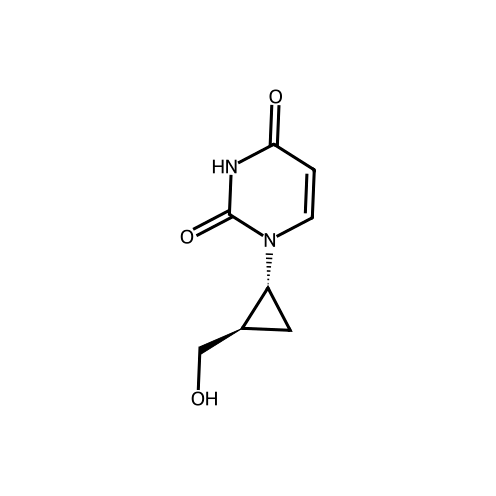 O=c1ccn([C@@H]2C[C@H]2CO)c(=O)[nH]1